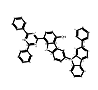 Oc1ccc(-c2nc(-c3ccccc3)nc(-c3ccccc3)n2)c2sc3ccc(-n4c5ccccc5c5ccc(-c6ccccc6)cc54)cc3c12